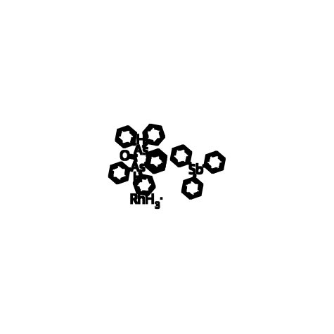 O=C([AsH](c1ccccc1)(c1ccccc1)c1ccccc1)[AsH](c1ccccc1)(c1ccccc1)c1ccccc1.[RhH3].c1cc[c]([Sb]([c]2ccccc2)[c]2ccccc2)cc1